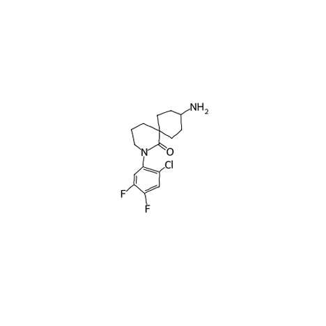 NC1CCC2(CCCN(c3cc(F)c(F)cc3Cl)C2=O)CC1